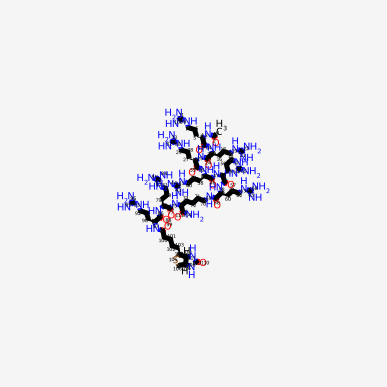 CC(=O)N[C@@H](CCCNC(=N)N)C(=O)N[C@@H](CCCNC(=N)N)C(=O)N[C@@H](CCCNC(=N)N)C(=O)N[C@H](CCCNC(=N)N)C(=O)N[C@@H](CCCNC(=N)N)C(=O)N[C@@H](CCCNC(=N)N)C(=O)NCCCCC(NC(=O)[C@H](CCCNC(=N)N)NC(=O)[C@H](CCCNC(=N)N)NC(=O)CCCC[C@@H]1SC[C@@H]2NC(=O)N[C@@H]21)C(N)=O